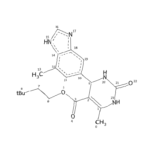 CC1=C(C(=O)OCCC(C)(C)C)C(c2cc(C)c3[nH]cnc3c2)NC(=O)N1